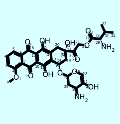 COc1cccc2c1C(=O)c1c(O)c3c(c(O)c1C2=O)C[C@@](O)(C(=O)COC(=O)[C@@H](N)C(C)C)C[C@@H]3OC1CC(N)C(O)=CO1